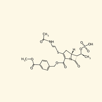 COC(=O)c1ccc(COC(=O)C2=C(SC=CNC(C)=O)C[C@@H]3[C@H]([C@H](C)OS(=O)(=O)O)C(=O)N23)cc1